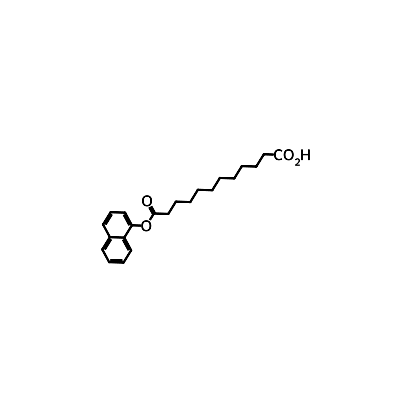 O=C(O)CCCCCCCCCCC(=O)Oc1cccc2ccccc12